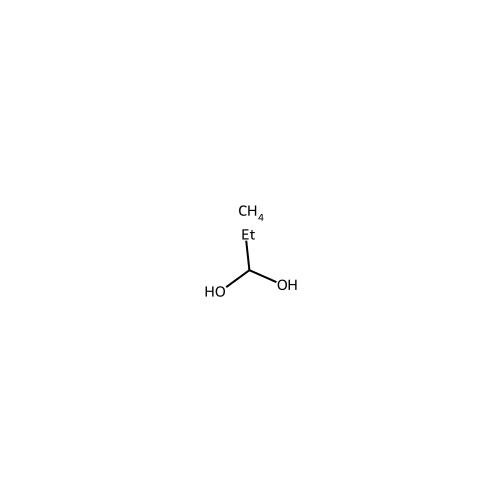 C.CCC(O)O